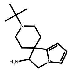 CC(C)(C)N1CCC2(CC1)c1cccn1CC2N